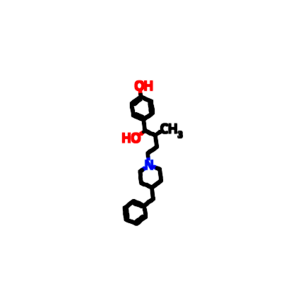 C[C@@H](CCN1CCC(Cc2ccccc2)CC1)[C@@H](O)c1ccc(O)cc1